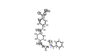 CC/C(=C\c1ccccc1)[C@@H]1C[C@H]1NC1CCC(NCc2ccc(C(=O)OC(C)(C)C)nc2)CC1